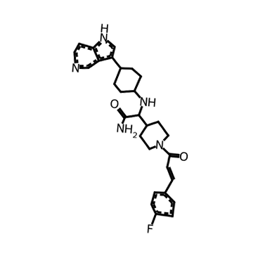 NC(=O)C(NC1CCC(c2c[nH]c3ccncc23)CC1)C1CCN(C(=O)C=Cc2ccc(F)cc2)CC1